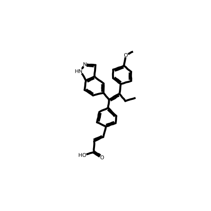 CCC(=C(c1ccc(C=CC(=O)O)cc1)c1ccc2[nH]ncc2c1)c1ccc(OC)cc1